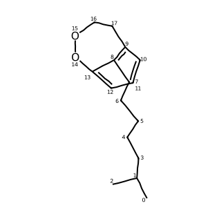 CC(C)CCCCCc1c2cccc1OOCC2